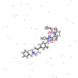 CC(C)(C)OC(=O)N1[C@@H]2CC[C@@H](C2)[C@H]1C(=O)N[C@H](C#N)Cc1ccc(C2=CCN(Cc3ccccc3)CC2)cc1F